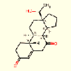 CC(O)[C@@]12CCC[C@H]1[C@@H]1C(=O)CC3=CC(=O)CC[C@@H]3[C@H]1CC2